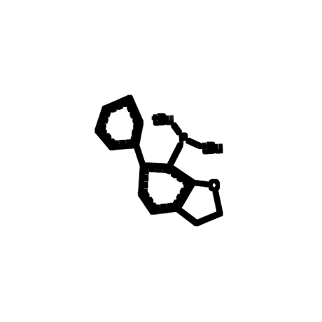 CC(C)(C)P(c1c(-c2ccccc2)ccc2c1OCC2)C(C)(C)C